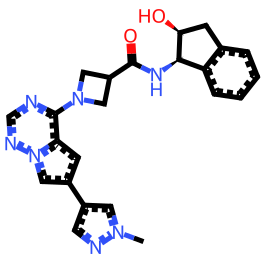 Cn1cc(-c2cc3c(N4CC(C(=O)N[C@@H]5c6ccccc6C[C@@H]5O)C4)ncnn3c2)cn1